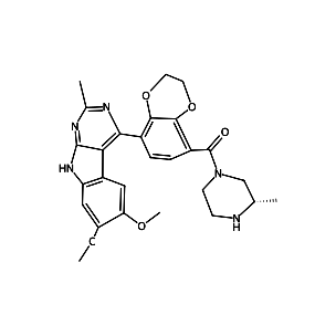 CCc1cc2[nH]c3nc(C)nc(-c4ccc(C(=O)N5CCN[C@@H](C)C5)c5c4OCCO5)c3c2cc1OC